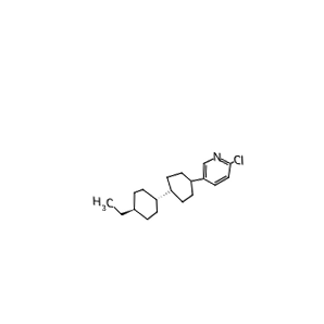 CC[C@H]1CC[C@H](C2CCC(c3ccc(Cl)nc3)CC2)CC1